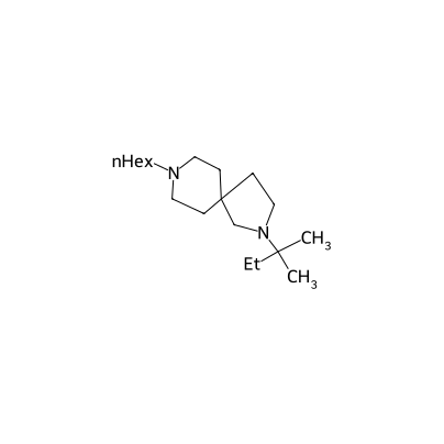 CCCCCCN1CCC2(CC1)CCN(C(C)(C)CC)C2